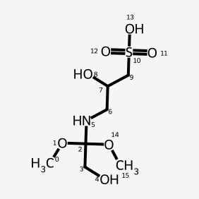 COC(CO)(NCC(O)CS(=O)(=O)O)OC